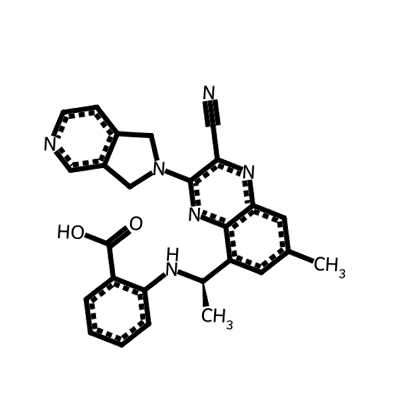 Cc1cc([C@@H](C)Nc2ccccc2C(=O)O)c2nc(N3Cc4ccncc4C3)c(C#N)nc2c1